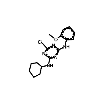 COc1ccccc1Nc1nc(Cl)nc(NC2CCCCC2)n1